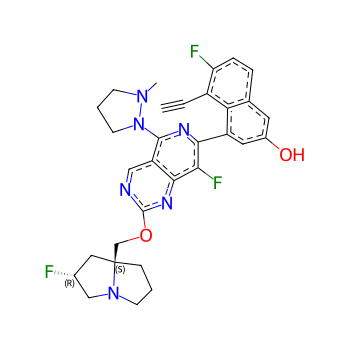 C#Cc1c(F)ccc2cc(O)cc(-c3nc(N4CCCN4C)c4cnc(OC[C@@]56CCCN5C[C@H](F)C6)nc4c3F)c12